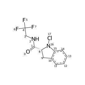 O=C(NCC(F)(F)F)[C@H]1Cc2ccccc2N1Cl